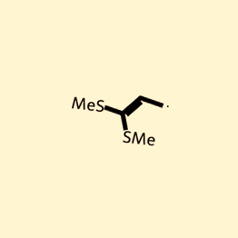 [CH2]C=C(SC)SC